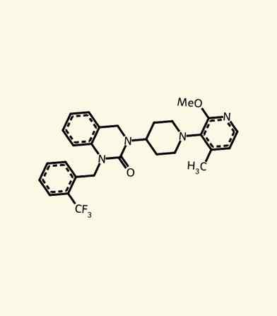 COc1nccc(C)c1N1CCC(N2Cc3ccccc3N(Cc3ccccc3C(F)(F)F)C2=O)CC1